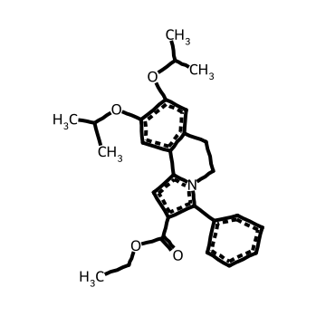 CCOC(=O)c1cc2n(c1-c1ccccc1)CCc1cc(OC(C)C)c(OC(C)C)cc1-2